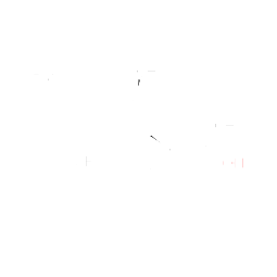 C[C@@H](OC[C@]1(c2ccccc2)C[C@](C)(O)C1)c1cc(C(F)(F)F)cc(C(F)(F)F)c1